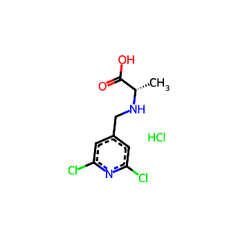 C[C@H](NCc1cc(Cl)nc(Cl)c1)C(=O)O.Cl